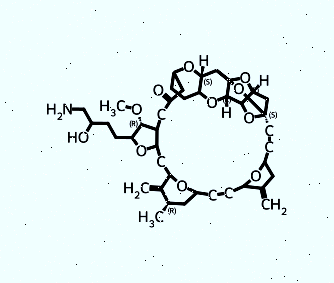 C=C1CC2CC[C@@]34C[C@H]5OC6C(O3)[C@H]3OC(CCC3O[C@H]6C5O4)CC(=O)CC3C(CC4OC(CCC1O2)C[C@@H](C)C4=C)OC(CCC(O)CN)[C@@H]3OC